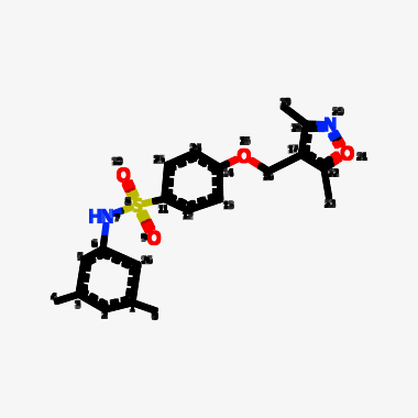 Cc1cc(C)cc(NS(=O)(=O)c2ccc(OCc3c(C)noc3C)cc2)c1